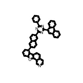 c1ccc(-c2nc(-c3ccc4cc(-c5cccc6oc7c8cnccc8ccc7c56)ccc4c3)nc(-c3cc4ccccc4c4ccccc34)n2)cc1